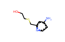 Nc1ccnc(CSCCO)c1